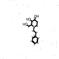 OCC1C(O)C(O)CCN1CCc1ccccc1